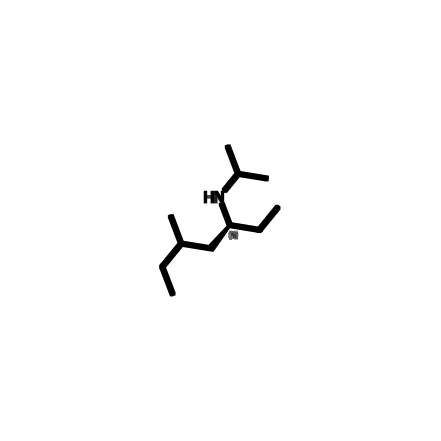 CCC(C)C[C@H](CC)NC(C)C